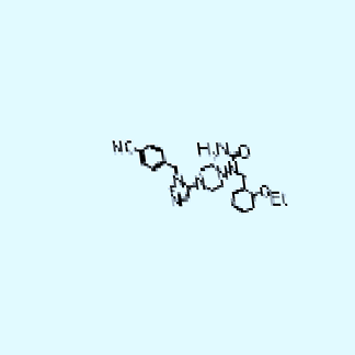 CCOc1ccccc1CN(C(N)=O)N1CCN(c2cncn2Cc2ccc(C#N)cc2)CC1